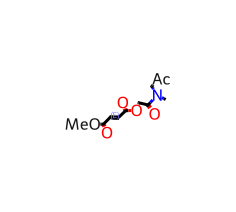 COC(=O)/C=C/C(=O)OCC(=O)N(C)CC(C)=O